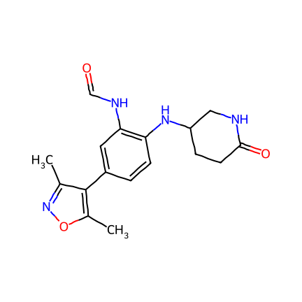 Cc1noc(C)c1-c1ccc(NC2CCC(=O)NC2)c(NC=O)c1